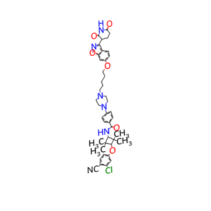 CC1(C)[C@H](NC(=O)c2ccc(N3CCN(CCCCCOc4ccc5c(C6CCC(=O)NC6=O)noc5c4)CC3)cc2)C(C)(C)[C@H]1Oc1ccc(C#N)c(Cl)c1